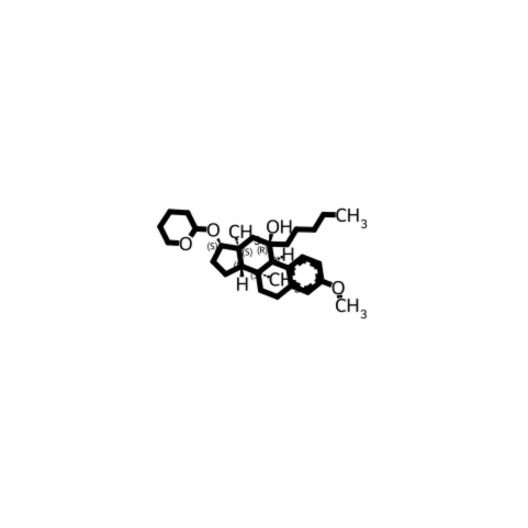 CCCCC[C@@]1(O)C[C@@]2(C)[C@@H](CC[C@@H]2OC2CCCCO2)[C@]2(C)CCc3cc(OC)ccc3[C@H]12